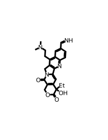 CCC1(O)C(=O)OCc2c1cc1n(c2=O)Cc2c-1nc1ccc(C=N)cc1c2CCN(C)C